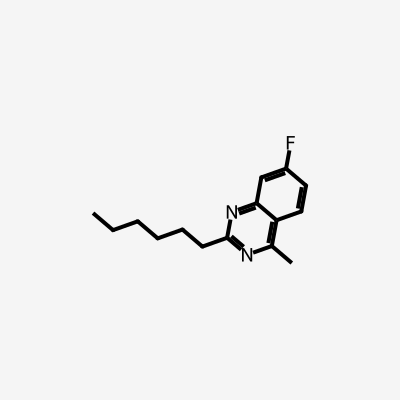 CCCCCCc1nc(C)c2ccc(F)cc2n1